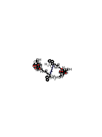 CC1(C)C(/C=C/C=C/C=C/C=C2/N(CCC(=O)NCCCO[C@H]3[C@H]4CCCOC5[C@@H](CO)OC(OC([C@@H](CO)O4)[C@@H]3O)[C@H](O)[C@H]5O)c3ccc4ccccc4c3C2(C)C)=[N+](CCC(=O)NCCCO[C@H]2C3O[C@H]4[C@H](O)[C@@H](O)C(CCCO[C@@H]([C@@H]2O)[C@@H](CO)O3)O[C@@H]4CO)c2ccc3ccccc3c21